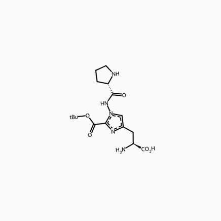 CC(C)(C)OC(=O)c1nc(C[C@H](N)C(=O)O)cn1NC(=O)[C@@H]1CCCN1